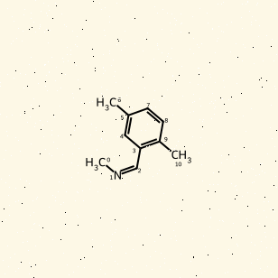 C/N=C\c1cc(C)ccc1C